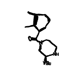 CCCC[C@H]1CN(C(=O)c2cccc(C)c2C)CCN1